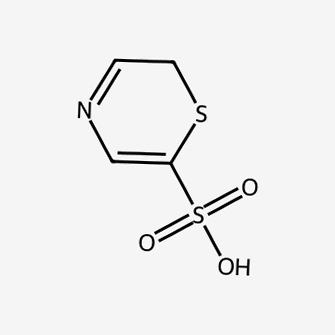 O=S(=O)(O)C1=CN=CCS1